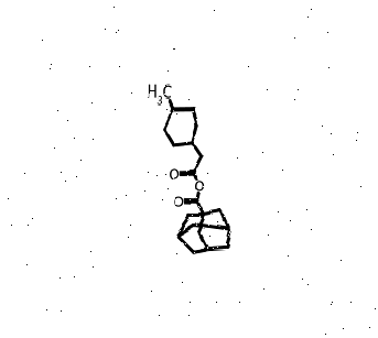 CC1CCC(CC(=O)OC(=O)C23CC4CC(CC(C4)C2)C3)CC1